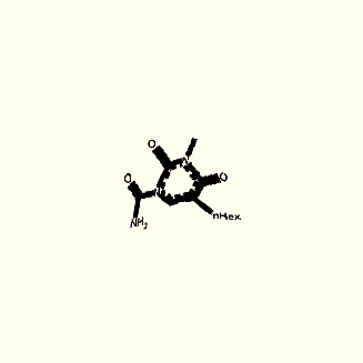 CCCCCCc1cn(C(N)=O)c(=O)n(C)c1=O